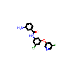 Nc1cccc(C(=O)Nc2cc(Cl)cc(Oc3cncc(F)c3)c2)c1